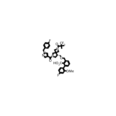 COc1cc(F)ccc1-c1cccc(COC[C@@H]2CN(C(=O)c3cnn(Cc4ccc(F)cc4)c3)CC23CN(C(=O)C(C)(C)C(F)(F)F)C3)c1C(=O)O